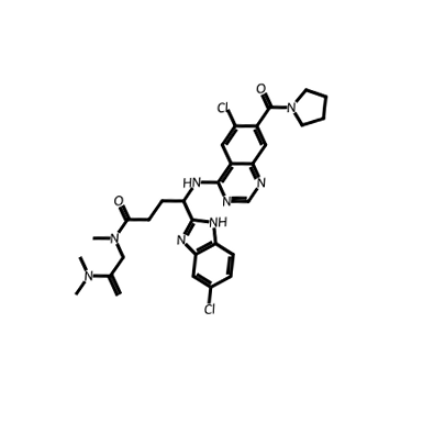 C=C(CN(C)C(=O)CCC(Nc1ncnc2cc(C(=O)N3CCCC3)c(Cl)cc12)c1nc2cc(Cl)ccc2[nH]1)N(C)C